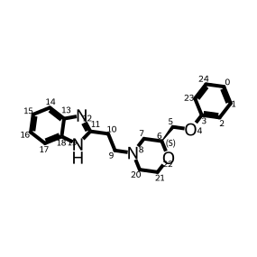 c1ccc(OC[C@@H]2CN(CCc3nc4ccccc4[nH]3)CCO2)cc1